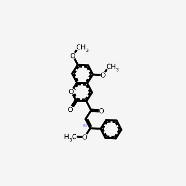 CO/C(=C/C(=O)c1cc2c(OC)cc(OC)cc2oc1=O)c1ccccc1